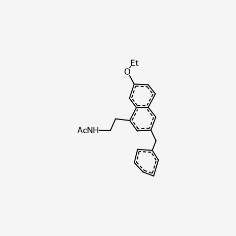 CCOc1ccc2cc(Cc3ccccc3)cc(CCNC(C)=O)c2c1